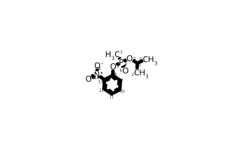 CC(C)OP(C)(=O)Oc1ccccc1[N+](=O)[O-]